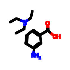 CCN(CC)CC.Nc1cccc(C(=O)O)c1